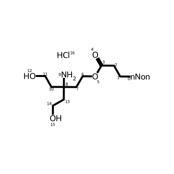 CCCCCCCCCCCC(=O)OCCC(N)(CCO)CCO.Cl